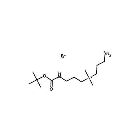 CC(C)(C)OC(=O)NCCC[N+](C)(C)CCCN.[Br-]